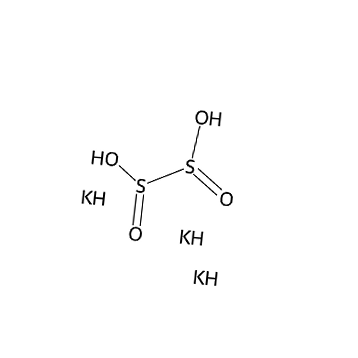 O=S(O)S(=O)O.[KH].[KH].[KH]